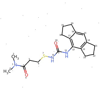 CN(C)C(=O)CCSNC(=O)Nc1c2c(cc3c1CCC3)CCC2